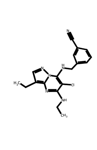 CCNc1nc2c(CC)cnn2c(NCc2cccc(C#N)c2)c1Cl